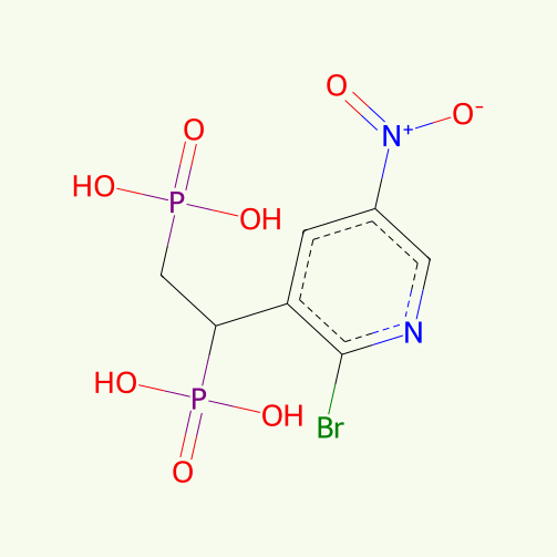 O=[N+]([O-])c1cnc(Br)c(C(CP(=O)(O)O)P(=O)(O)O)c1